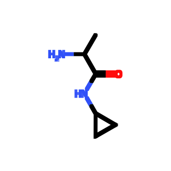 CC(N)C(=O)NC1CC1